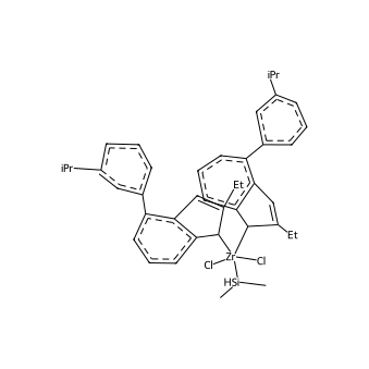 CCC1=Cc2c(-c3cccc(C(C)C)c3)cccc2[CH]1[Zr]([Cl])([Cl])([CH]1C(CC)=Cc2c(-c3cccc(C(C)C)c3)cccc21)[SiH](C)C